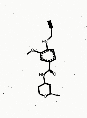 C#CCNc1ccc(C(=O)NC2CCOC(C)C2)cc1OC